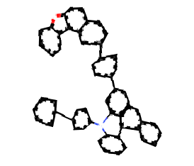 c1ccc(-c2ccc(N(c3cccc(-c4ccc(-c5ccc6ccc7oc8ccccc8c7c6c5)cc4)c3)c3ccccc3-c3cccc4ccccc34)cc2)cc1